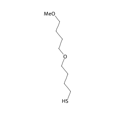 COCCCCOCCCCS